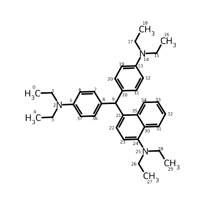 CCN(CC)c1ccc([C](c2ccc(N(CC)CC)cc2)c2ccc(N(CC)CC)c3ccccc23)cc1